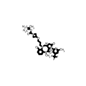 Cc1cc(C(F)(F)F)cc(N2C(=O)C[C@@H]3CN(CCCOC4CN(C(=O)OC(C)(C)C)C4)c4c(Cl)cccc4N(C)C(=O)[C@H]32)n1